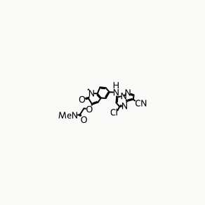 CNC(=O)COc1cc2cc(Nc3cc(Cl)nc4c(C#N)cnn34)ccc2n(C)c1=O